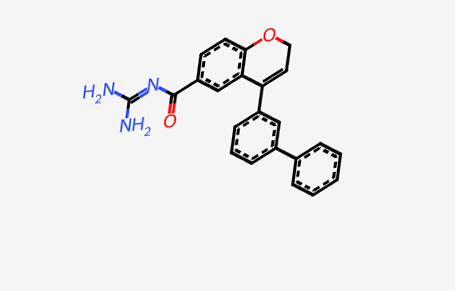 NC(N)=NC(=O)c1ccc2c(c1)C(c1cccc(-c3ccccc3)c1)=CCO2